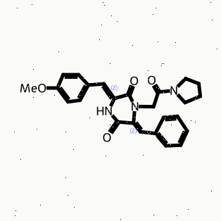 COc1ccc(/C=c2\[nH]c(=O)/c(=C/c3ccccc3)n(CC(=O)N3CCCC3)c2=O)cc1